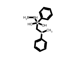 BBP(O)(O)(CP(C)c1ccccc1)c1ccccc1